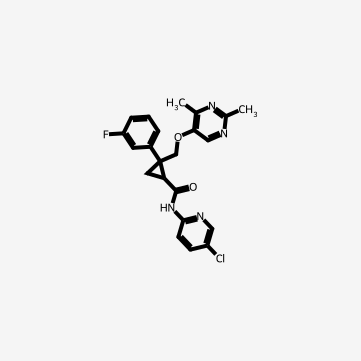 Cc1ncc(OCC2(c3cccc(F)c3)CC2C(=O)Nc2ccc(Cl)cn2)c(C)n1